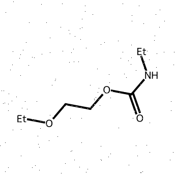 [CH2]CNC(=O)OCCOCC